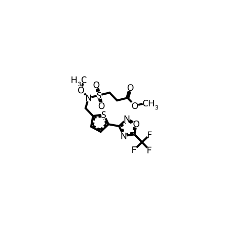 COC(=O)CCS(=O)(=O)N(Cc1ccc(-c2noc(C(F)(F)F)n2)s1)OC